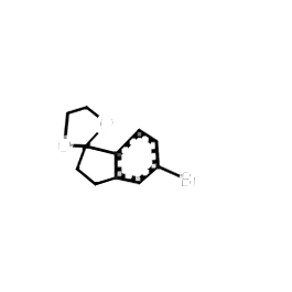 Brc1ccc2c(c1)CCC21OCCO1